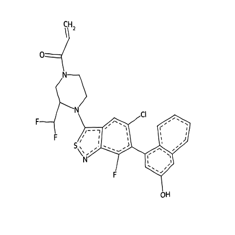 C=CC(=O)N1CCN(c2snc3c(F)c(-c4cc(O)cc5ccccc45)c(Cl)cc23)C(C(F)F)C1